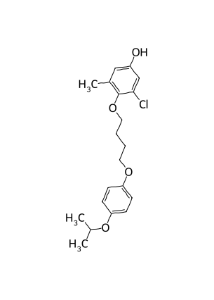 Cc1cc(O)cc(Cl)c1OCCCCOc1ccc(OC(C)C)cc1